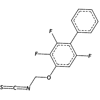 Fc1cc(OCN=C=S)c(F)c(F)c1-c1ccccc1